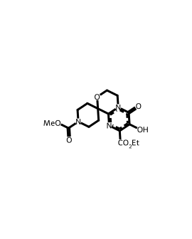 CCOC(=O)c1nc2n(c(=O)c1O)CCOC21CCN(C(=O)OC)CC1